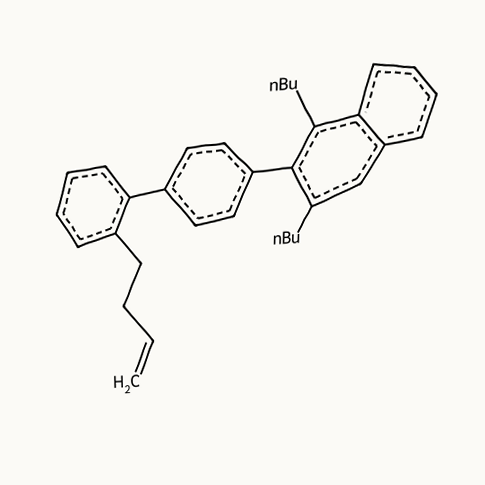 C=CCCc1ccccc1-c1ccc(-c2c(CCCC)cc3ccccc3c2CCCC)cc1